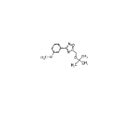 COc1cccc(-c2noc(COC(C)(C)C)n2)c1